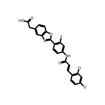 O=C(O)Cc1ccc2oc(-c3ccc(NC(=O)C=Cc4ccc(Cl)cc4Cl)cc3F)nc2c1